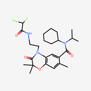 Cc1cc2c(cc1C(=O)N(C(C)C)C1CCCCC1)N(CCNC(=O)C(F)F)C(=O)C(C)(C)O2